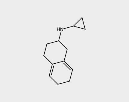 C1=C2CCC(NC3CC3)CC2=CCC1